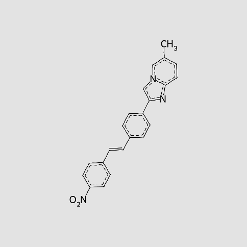 Cc1ccc2nc(-c3ccc(C=Cc4ccc([N+](=O)[O-])cc4)cc3)cn2c1